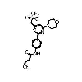 CS(=O)(=O)Cc1cc(N2CCOCC2)nc(-c2ccc(NC(=O)CCC(F)(F)F)cc2)n1